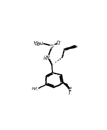 C=CC[C@@H](N[S+]([O-])C(C)(C)C)c1cc(F)cc(C#N)c1